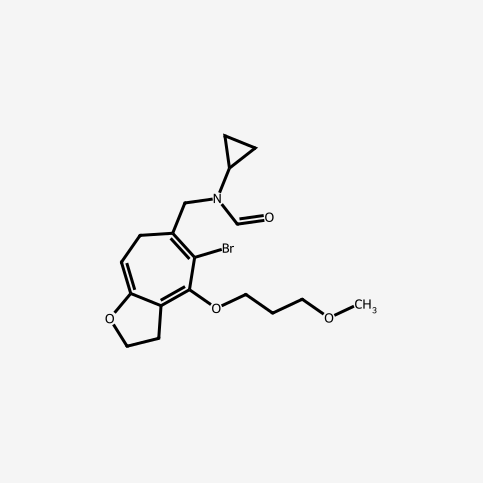 COCCCOC1=C2CCOC2=CCC(CN(C=O)C2CC2)=C1Br